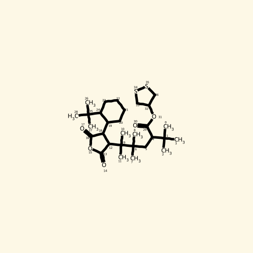 CC(C)(C)C(CC(C)(C)C(C)(C)C1C(=O)OC(=O)C1C1CCCCC1C(C)(C)C)C(=O)OC1CSSC1